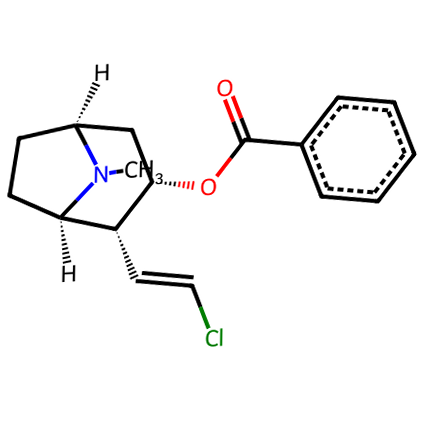 CN1[C@H]2CC[C@@H]1[C@@H](/C=C/Cl)[C@@H](OC(=O)c1ccccc1)C2